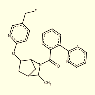 CC1C2CC(Oc3ccc(CF)cn3)C(C2)N1C(=O)c1ccccc1-c1ncccn1